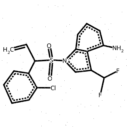 C=CC(c1ccccc1Cl)S(=O)(=O)n1cc(C(F)F)c2c(N)cccc21